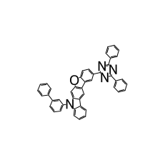 c1ccc(-c2cccc(-n3c4ccccc4c4cc5c(cc43)oc3ccc(-c4nc(-c6ccccc6)nc(-c6ccccc6)n4)cc35)c2)cc1